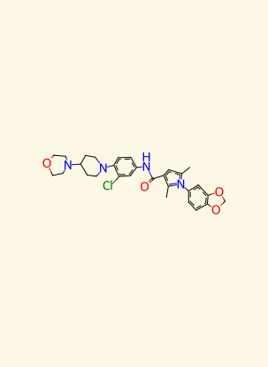 Cc1cc(C(=O)Nc2ccc(N3CCC(N4CCOCC4)CC3)c(Cl)c2)c(C)n1-c1ccc2c(c1)OCO2